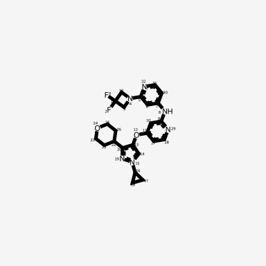 FC1(F)CN(c2cc(Nc3cc(Oc4cn(C5CC5)nc4C4CCOCC4)ccn3)ccn2)C1